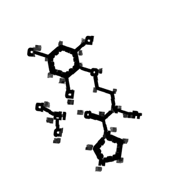 CCCN(CCOc1c(Cl)cc(Cl)cc1Cl)C(=O)n1ccnc1.ClPCl